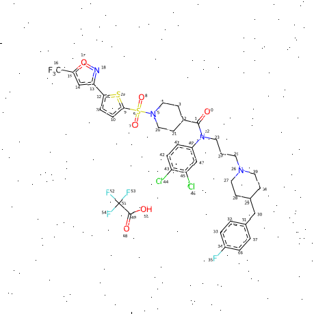 O=C(C1CCN(S(=O)(=O)c2ccc(-c3cc(C(F)(F)F)on3)s2)CC1)N(CCCN1CCC(Cc2ccc(F)cc2)CC1)c1ccc(Cl)c(Cl)c1.O=C(O)C(F)(F)F